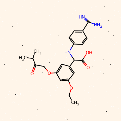 CCOc1cc(OCC(=O)C(C)C)cc(C(Nc2ccc(C(=N)N)cc2)C(=O)O)c1